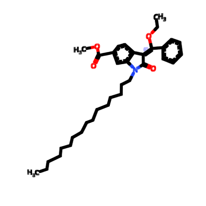 CCCCCCCCCCCCCCCCN1C(=O)/C(=C(/OCC)c2ccccc2)c2ccc(C(=O)OC)cc21